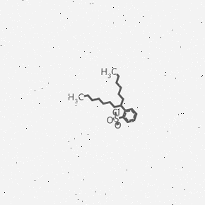 CCCCCCCC(CCCCCC)c1ccccc1S(=O)(=O)Cl